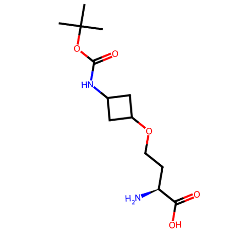 CC(C)(C)OC(=O)NC1CC(OCC[C@H](N)C(=O)O)C1